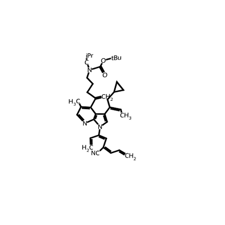 C=C/C=C(C#N)\C=C(/C=C)n1cc(/C(=C\C)CC2CC2)c2c(C(=C)CCCN(CC(C)C)C(=O)OC(C)(C)C)c(C)cnc21